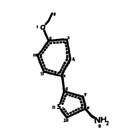 COc1ccc(-c2cc(N)cs2)cc1